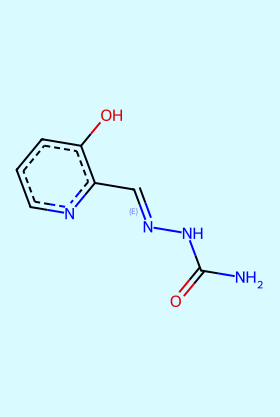 NC(=O)N/N=C/c1ncccc1O